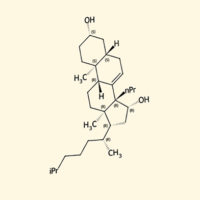 CCC[C@]12C3=CC[C@H]4C[C@@H](O)CC[C@]4(C)[C@H]3CC[C@]1(C)[C@@H]([C@H](C)CCCC(C)C)C[C@H]2O